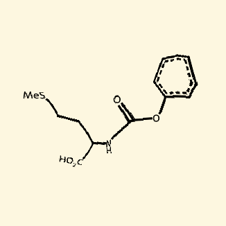 CSCCC(NC(=O)Oc1ccccc1)C(=O)O